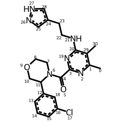 Cc1nc(C(=O)N2CCOCC2c2cccc(Cl)c2)nc(NCCc2cn[nH]c2)c1C